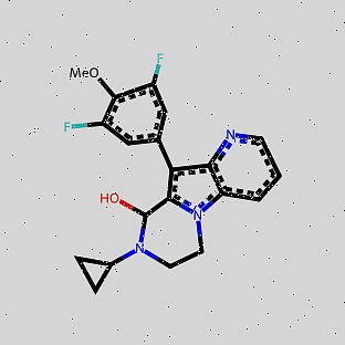 COc1c(F)cc(-c2c3n(c4cccnc24)CCN(C2CC2)C3O)cc1F